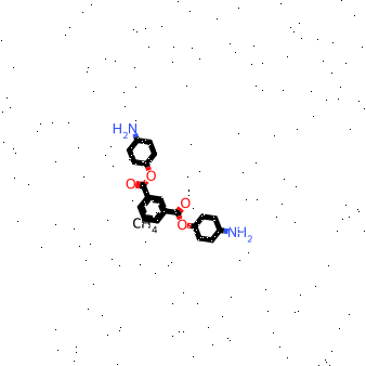 C.NC1CCC(OC(=O)c2cccc(C(=O)OC3CCC(N)CC3)c2)CC1